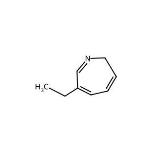 CCC1=CC=CCN=C1